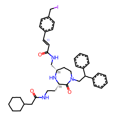 O=C(/C=C/c1ccc(CI)cc1)NC[C@@H]1CCN(CC(c2ccccc2)c2ccccc2)C(=O)[C@H](CCNC(=O)CC2CCCCC2)N1